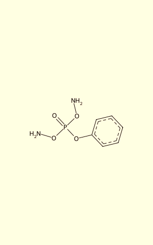 NOP(=O)(ON)Oc1ccccc1